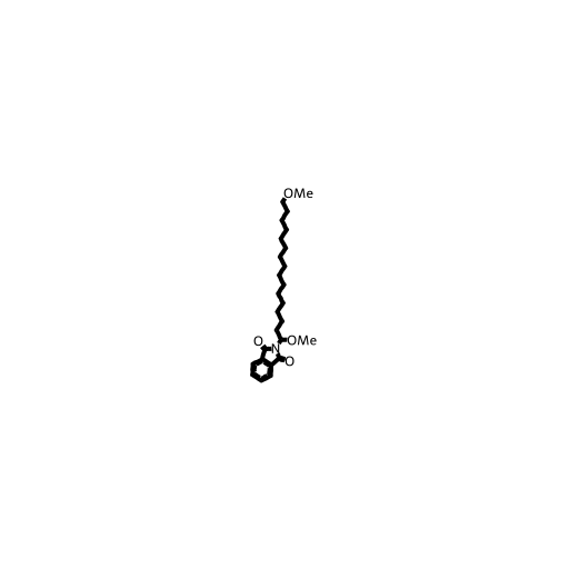 COCCCCCCCCCCCCCCCC(OC)N1C(=O)c2ccccc2C1=O